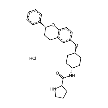 Cl.O=C(N[C@H]1CC[C@H](Oc2ccc3c(c2)CC[C@@H](c2ccccc2)O3)CC1)C1CCCN1